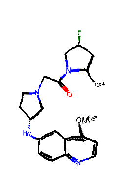 COc1ccnc2ccc(N[C@@H]3CCN(CC(=O)N4C[C@@H](F)CC4C#N)C3)cc12